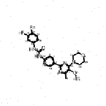 CCOc1c(C)nc(-c2ccc(NC(=O)Nc3ccc(F)c(F)c3)nc2)nc1N1CCOCC1